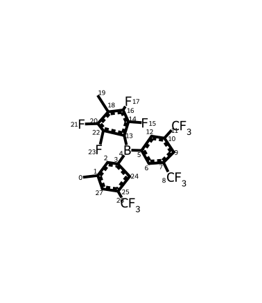 Cc1cc(B(c2cc(C(F)(F)F)cc(C(F)(F)F)c2)c2c(F)c(F)c(C)c(F)c2F)cc(C(F)(F)F)c1